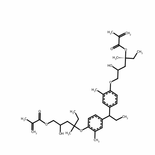 C=C(C)C(=O)OCC(O)CC(C)(CC)Oc1ccc(C(CC)c2ccc(OCC(O)C[C@](C)(CC)OC(=O)C(=C)C)c(C)c2)cc1C